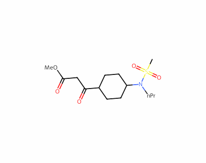 CCCN(C1CCC(C(=O)CC(=O)OC)CC1)S(C)(=O)=O